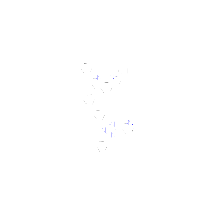 Cc1ccc2ccc3c(-c4cccc(-c5ccc(-c6nc(-c7ccccc7)nc(-c7cccnc7)n6)cc5)c4)cc(-c4ccccc4)nc3c2n1